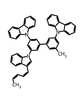 C/C=C\C=C/c1cn(-c2cc(-c3cc(C)cc(-n4c5ccccc5c5ccccc54)c3)cc(-n3c4ccccc4c4ccccc43)c2)c2ccccc12